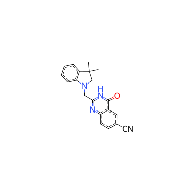 CC1(C)CN(Cc2nc3ccc(C#N)cc3c(=O)[nH]2)c2ccccc21